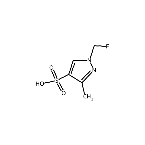 Cc1nn(CF)cc1S(=O)(=O)O